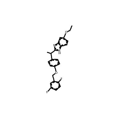 CCOc1ccc2[nH]c(C(C)c3ccc(OCc4cc(F)ccc4F)cc3)nc2c1